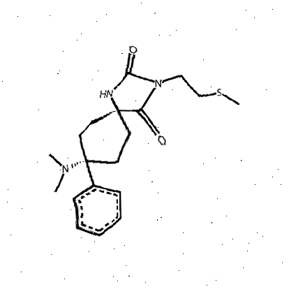 CSCCN1C(=O)N[C@]2(CC[C@@](c3ccccc3)(N(C)C)CC2)C1=O